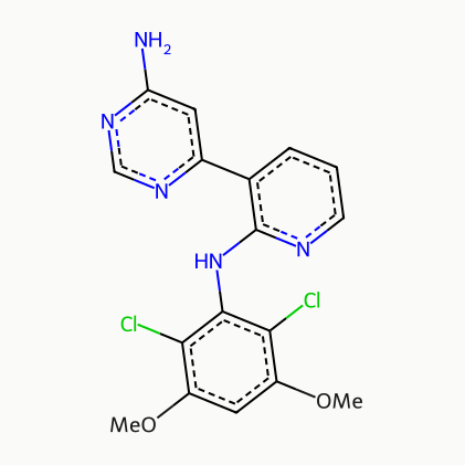 COc1cc(OC)c(Cl)c(Nc2ncccc2-c2cc(N)ncn2)c1Cl